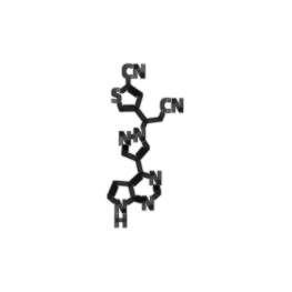 N#CCC(c1csc(C#N)c1)n1cc(-c2ncnc3[nH]ccc23)cn1